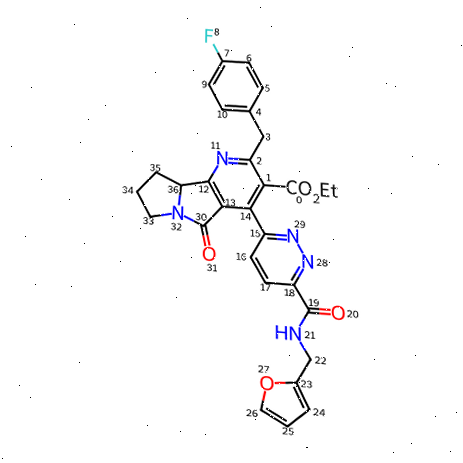 CCOC(=O)c1c(Cc2ccc(F)cc2)nc2c(c1-c1ccc(C(=O)NCc3ccco3)nn1)C(=O)N1CCCC21